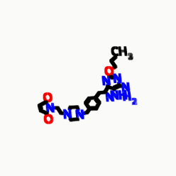 CCCCOc1nc(N)c2[nH]nc(Cc3ccc(CN4CCN(CCN5C(=O)C=CC5=O)CC4)cc3)c2n1